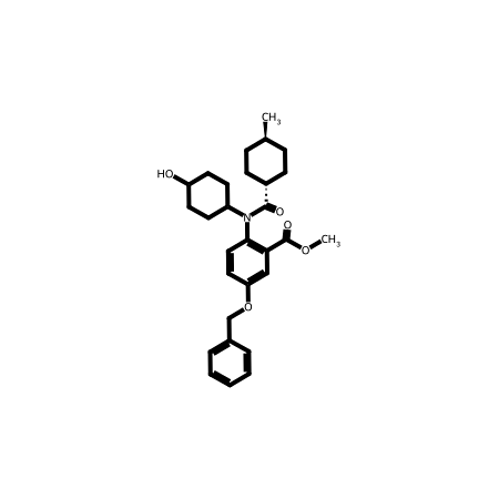 COC(=O)c1cc(OCc2ccccc2)ccc1N(C(=O)[C@H]1CC[C@H](C)CC1)C1CCC(O)CC1